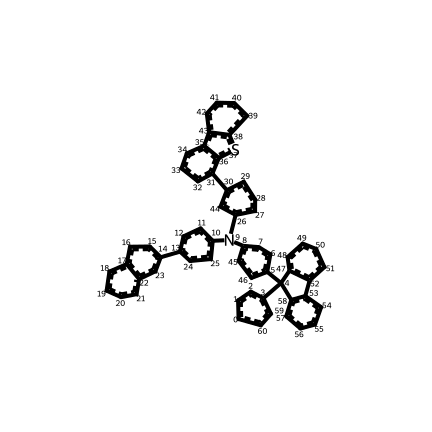 c1ccc(C2(c3ccc(N(c4ccc(-c5ccc6ccccc6c5)cc4)c4cccc(-c5cccc6c5sc5ccccc56)c4)cc3)c3ccccc3-c3ccccc32)cc1